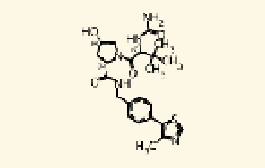 Cc1ncsc1-c1ccc(CNC(=O)[C@@H]2C[C@@H](O)CN2C(=O)[C@@H](NC(N)=O)C(C)(C)C)cc1